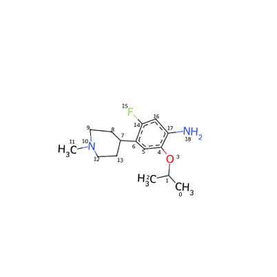 CC(C)Oc1cc(C2CCN(C)CC2)c(F)cc1N